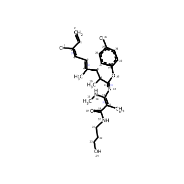 C=C/C(Cl)=C\C=C(/C)CC(C)/C(=N\C(NC)=C(/C)C(=O)NCCCO)Oc1ccc(Cl)cc1